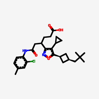 Cc1ccc(NC(=O)CC(CCC(=O)O)c2noc([C@H]3C[C@@H](CC(C)(C)C)C3)c2C2CC2)c(Cl)c1